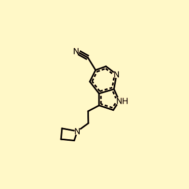 N#Cc1cnc2[nH]cc(CCN3CCC3)c2c1